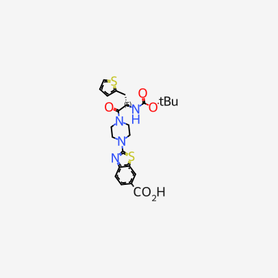 CC(C)(C)OC(=O)N[C@@H](Cc1cccs1)C(=O)N1CCN(c2nc3ccc(C(=O)O)cc3s2)CC1